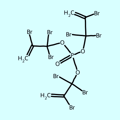 C=C(Br)C(Br)(Br)OP(=O)(OC(Br)(Br)C(=C)Br)OC(Br)(Br)C(=C)Br